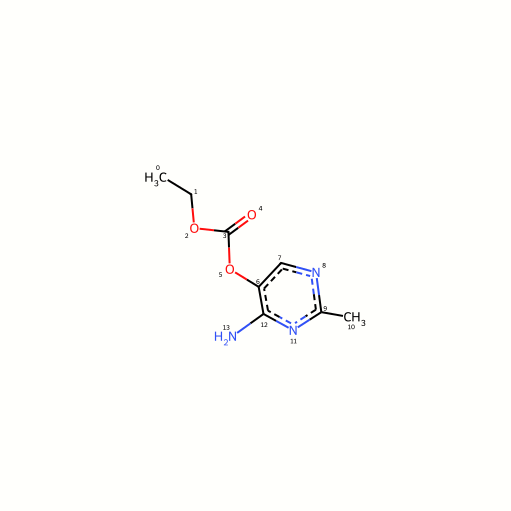 CCOC(=O)Oc1cnc(C)nc1N